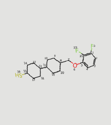 Fc1cccc(OCC2CCC(C3CCC(S)CC3)CC2)c1F